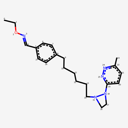 CCO/N=C/c1ccc(CCCCCCN2CCN2c2ccc(C)nn2)cc1